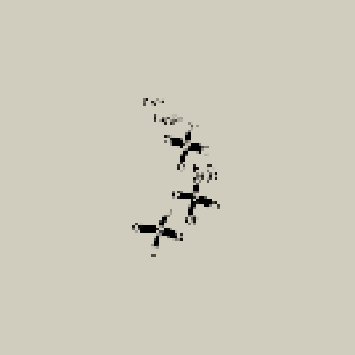 O.O.O=P([O-])([O-])O.O=S(=O)([O-])[O-].O=S(=O)([O-])[O-].[Ca+2].[Ca+2].[Ca+2]